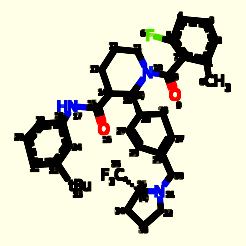 Cc1cccc(F)c1C(=O)N1CCCC(C(=O)Nc2cccc(C(C)(C)C)c2)[C@@H]1C1C=CC(CN2CCC[C@@H]2C(F)(F)F)=CC1